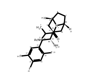 CC(=O)NC(C)C(=O)N1[C@@H]2CC[C@H]1C[C@H]([C@H](N)Cc1cc(F)c(F)cc1F)C2